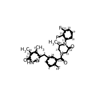 Cc1c(Cc2ccc(F)c(C(=O)N3CC(=O)N(c4cccc(F)c4F)[C@H](C)C3)c2)n[nH]c(=O)c1C